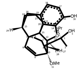 CCC[C@@](C)(O)[C@H]1CC[C@@]23C=C[C@]1(OC)[C@@H]1Oc4c(O)ccc5c4[C@@]12CCC[C@@H]3C5